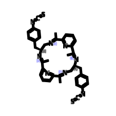 C/C1=N\C[C@H](Cc2ccc(N=C=S)cc2)/N=C(\C)c2cccc(n2)/C(C)=N/C[C@H](Cc2ccc(N=C=S)cc2)/N=C(\C)c2cccc1n2